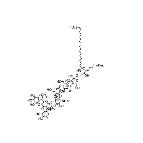 CCCCCCCC/C=C\CCCCCCCCCCCCCCCC(=O)N[C@@H](CO[C@@H]1OC(CO)[C@@H](O[C@@H]2OC(CO)[C@H](O[C@@H]3OC(CO)[C@H](O)[C@H](O[C@@H]4OC(CO[C@@H]5OC(CO)[C@@H](O[C@@H]6OC(CO)[C@H](O)[C@H](O)C6O)[C@H](O[C@H]6C(O)[C@H](O)C(C)O[C@H]6O)C5NC(C)=O)[C@H](O)[C@H](O)C4NC(C)=O)C3O)[C@H](O)C2O)[C@H](O)C1O)[C@H](O)/C=C/CCCCCCCCCCCCC